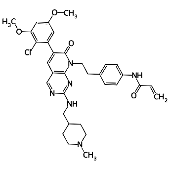 C=CC(=O)Nc1ccc(CCn2c(=O)c(-c3cc(OC)cc(OC)c3Cl)cc3cnc(NCC4CCN(C)CC4)nc32)cc1